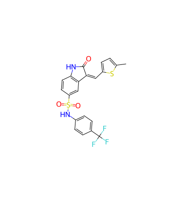 Cc1ccc(C=C2C(=O)Nc3ccc(S(=O)(=O)Nc4ccc(C(F)(F)F)cc4)cc32)s1